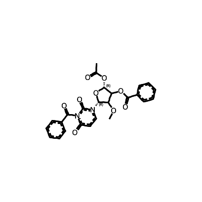 COC1C(OC(=O)c2ccccc2)[C@@H](OC(C)=O)O[C@H]1n1ccc(=O)n(C(=O)c2ccccc2)c1=O